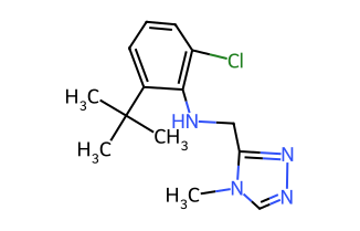 Cn1cnnc1CNc1c(Cl)cccc1C(C)(C)C